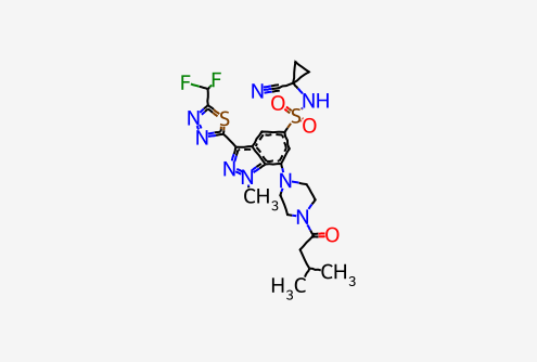 CC(C)CC(=O)N1CCN(c2cc(S(=O)(=O)NC3(C#N)CC3)cc3c(-c4nnc(C(F)F)s4)nn(C)c23)CC1